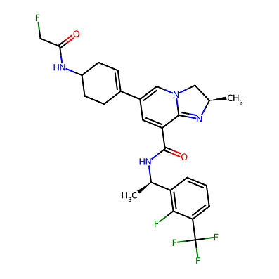 C[C@@H]1CN2C=C(C3=CCC(NC(=O)CF)CC3)C=C(C(=O)N[C@H](C)c3cccc(C(F)(F)F)c3F)C2=N1